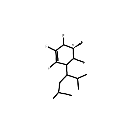 CC(C)CC(C(C)C)C1C(F)=C(F)C(F)[C@@H](F)C1F